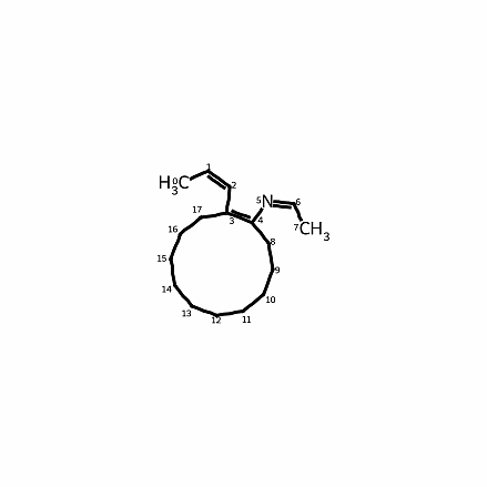 C\C=C/C1=C(\N=C/C)CCCCCCCCCC1